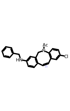 CC(=O)N1Cc2cc(NCc3ccccc3)ccc2/C=C\c2cc(Cl)ccc21